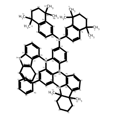 CC1(C)CCC(C)(C)c2cc(N(c3ccc4c(c3)N(c3cccc5sc6c(c35)CCC=C6)c3cc(-c5ccccc5)cc5c3B4c3cccc4c3N5C3(C)CCCCC43C)c3ccc4c(c3)C(C)(C)CCC4(C)C)ccc21